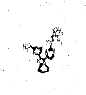 Cc1cccc(-c2nc3ccccn3c2-c2ccnc(NCCN(C)C)n2)n1